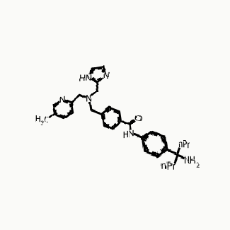 CCCC(N)(CCC)c1ccc(NC(=O)c2ccc(CN(Cc3ccc(C)cn3)Cc3ncc[nH]3)cc2)cc1